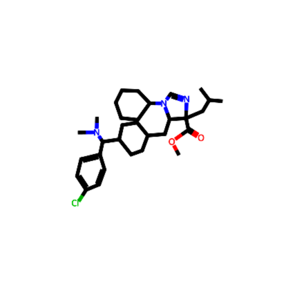 COC(=O)C1(CC(C)C)N=CN(C2CCCCC2)C1CC1CCC(C(c2ccc(Cl)cc2)N(C)C)CC1